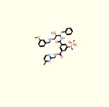 COc1cccc(CNC[C@@H](O)[C@H](Cc2ccccc2)NC(=O)c2cc(C(=O)NCc3nccc(C)n3)cc(N(C)S(C)(=O)=O)c2)c1